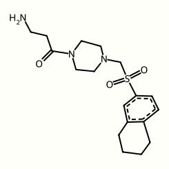 NCCC(=O)N1CCN(CS(=O)(=O)c2ccc3c(c2)CCCC3)CC1